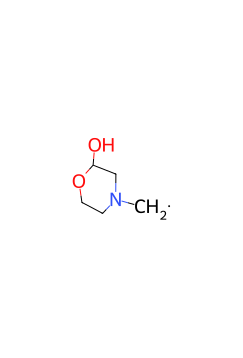 [CH2]N1CCOC(O)C1